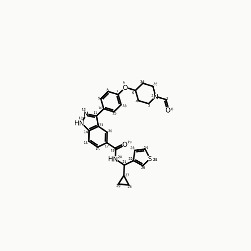 O=CN1CCC(Oc2ccc(-c3n[nH]c4ccc(C(=O)NC(c5ccsc5)C5CC5)cc34)cc2)CC1